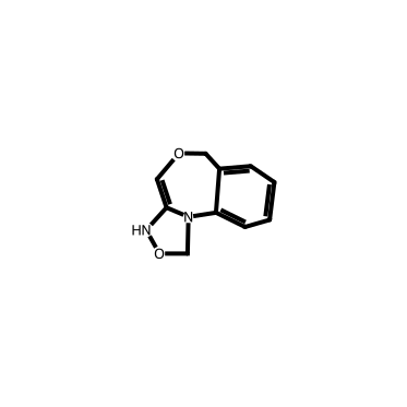 C1=C2NOCN2c2ccccc2CO1